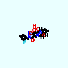 Cc1ccc(CNC(=O)c2cn3c(c(O)c2=O)C(=O)N2[C@@H]4CC(C)[C@@H](C4)O[C@H]2C3)c(F)c1